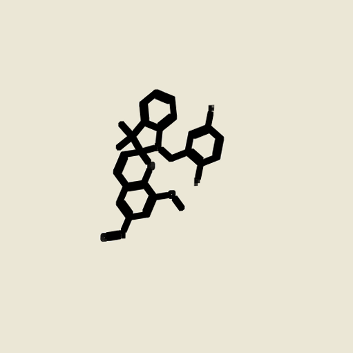 COc1cc(N=O)cc2c1OC1(C=C2)N(Cc2cc(F)ccc2F)c2ccccc2C1(C)C